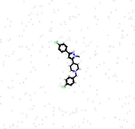 Cn1nc(-c2ccc(Cl)cc2)cc1C1CCN(Cc2ccc(Cl)cc2)CC1